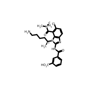 C[C@@H](CCCCN)n1c(NC(=O)c2cccc(C(=O)O)c2)nc2ccc(Cl)c(C(=O)N(C)C)c21